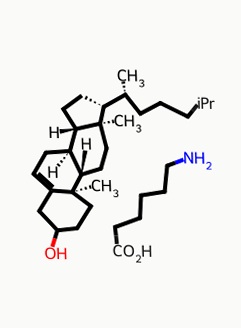 CC(C)CCC[C@@H](C)[C@H]1CC[C@H]2[C@@H]3CC=C4CC(O)CC[C@]4(C)[C@H]3CC[C@]12C.NCCCCCC(=O)O